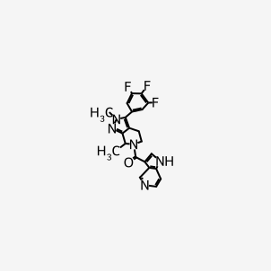 CC1c2nn(C)c(-c3cc(F)c(F)c(F)c3)c2CCN1C(=O)c1c[nH]c2ccncc12